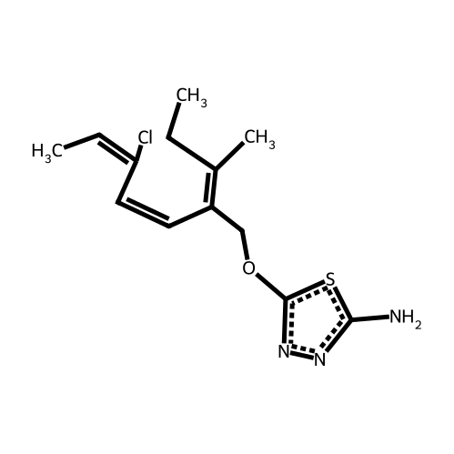 C\C=C(Cl)/C=C\C(COc1nnc(N)s1)=C(\C)CC